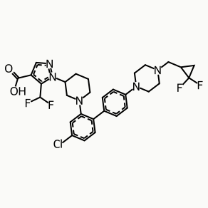 O=C(O)c1cnn(C2CCCN(c3cc(Cl)ccc3-c3ccc(N4CCN(CC5CC5(F)F)CC4)cc3)C2)c1C(F)F